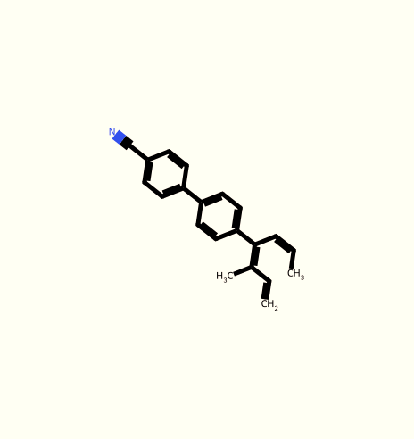 C=C/C(C)=C(\C=C/C)c1ccc(-c2ccc(C#N)cc2)cc1